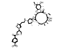 CC[C@H]1OC(=O)[C@H](C)[C@@H](O[C@H]2C[C@@](C)(OC)[C@@H](O)[C@H](C)O2)[C@H](C)[C@@H](O[C@H]2C[C@@H](N(C)CCc3cn(C(CF)CNC(=O)c4ccc([N+](=O)[O-])cc4)nn3)C[C@@H](C)O2)[C@](C)(O)C[C@@H](C)CN(C)[C@H](C)[C@@H](O)[C@]1(C)O